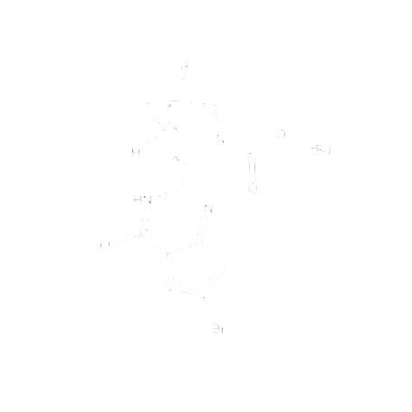 CC(C)(C)OC(=O)N1C[C@@H]2C[C@@H]2[C@H]1c1nc2cc(Br)sc2c(=O)[nH]1